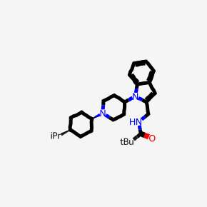 CC(C)[C@H]1CC[C@@H](N2CCC(n3c(CNC(=O)C(C)(C)C)cc4ccccc43)CC2)CC1